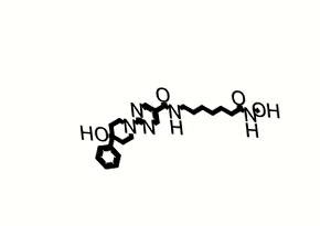 O=C(CCCCCCNC(=O)c1cnc(N2CCC(O)(c3ccccc3)CC2)nc1)NO